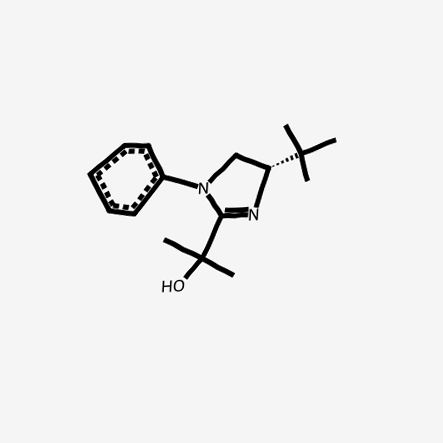 CC(C)(O)C1=N[C@@H](C(C)(C)C)CN1c1ccccc1